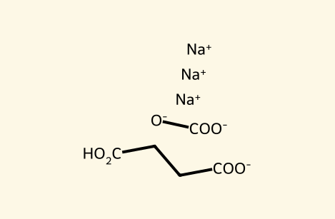 O=C([O-])CCC(=O)O.O=C([O-])[O-].[Na+].[Na+].[Na+]